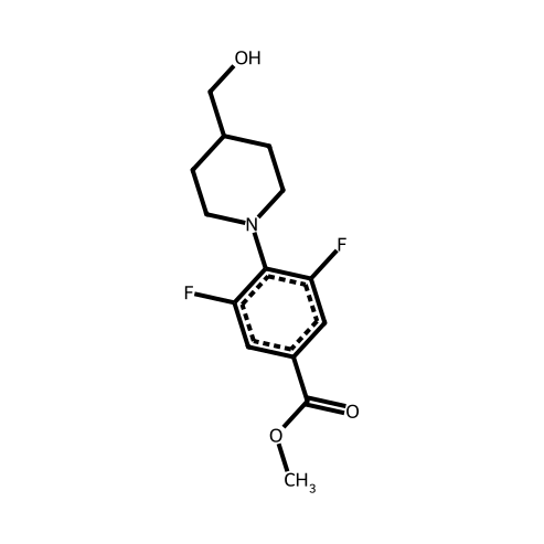 COC(=O)c1cc(F)c(N2CCC(CO)CC2)c(F)c1